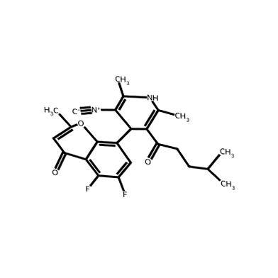 [C-]#[N+]C1=C(C)NC(C)=C(C(=O)CCC(C)C)C1c1cc(F)c(F)c2c(=O)cc(C)oc12